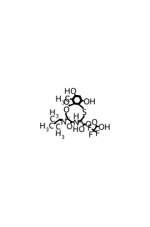 Cc1c(O)cc(O)c2c1C(=O)OC[C@H](N=CC(C)(C)C)C(=O)N[C@H](C(=O)O)CSC2.O=C(O)C(F)(F)F